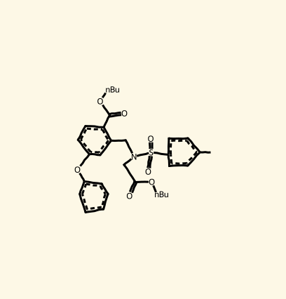 CCCCOC(=O)CN(Cc1cc(Oc2ccccc2)ccc1C(=O)OCCCC)S(=O)(=O)c1ccc(C)cc1